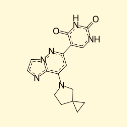 O=c1[nH]cc(-c2cc(N3CCC4(CC4)C3)c3nccn3n2)c(=O)[nH]1